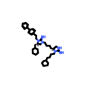 N=C1NC[C@H](CCCCN2C[C@H](CC3CCCCC3)N(CCc3ccc(-c4ccccc4)cc3)C2=N)N1CCCCC1CCCCC1